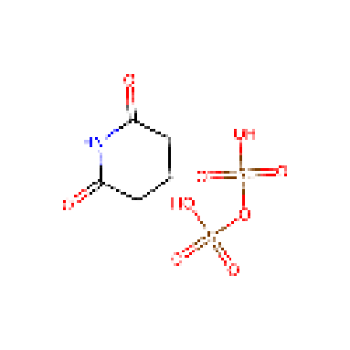 O=C1CCCC(=O)N1.O=S(=O)(O)OS(=O)(=O)O